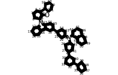 C1=CC2Oc3c(cccc3-n3c4ccccc4c4cc(-c5ccc(N(c6ccc(-c7cccc(-c8ccccc8)c7)cc6)c6cccc7ccccc67)cc5)ccc43)C2C=C1